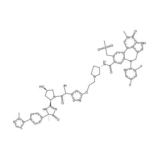 Cc1ncsc1-c1ccc([C@@]2(C)NC([C@H]3C[C@@H](O)CN3C(=O)C(c3cc(OCCN4CC[C@H](NC(=O)c5cc6c(cc5CS(C)(=O)=O)-c5cn(C)c(=O)c7[nH]cc(c57)CN6c5ncc(F)cc5F)C4)no3)C(C)C)=NC2=O)cc1